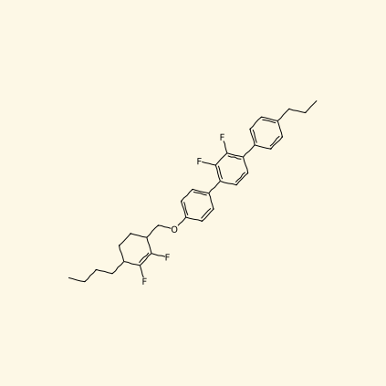 CCCCC1CCC(COc2ccc(-c3ccc(-c4ccc(CCC)cc4)c(F)c3F)cc2)C(F)=C1F